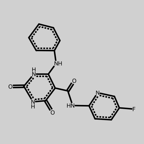 O=C(Nc1ccc(F)cn1)c1c(Nc2ccccc2)[nH]c(=O)[nH]c1=O